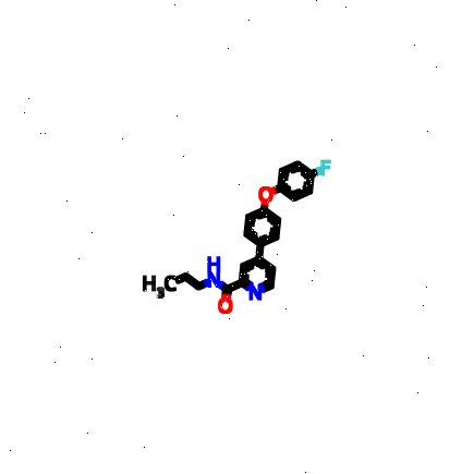 CCCNC(=O)c1cc(-c2ccc(Oc3ccc(F)cc3)cc2)ccn1